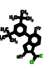 CCCC1=Cc2c(ccc(CCC)c2-c2cc([Si](C)(C)C)cc([Si](C)(C)C)c2)[CH]1[Zr]([Cl])[Cl]